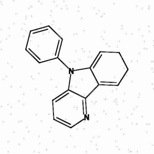 C1=c2c(n(-c3ccccc3)c3cccnc23)=CCC1